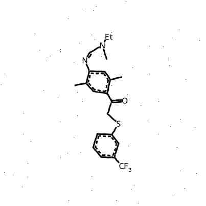 CCN(C)/C=N\c1cc(C)c(C(=O)CSc2cccc(C(F)(F)F)c2)cc1C